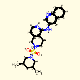 CC1CC(C)CN(S(=O)(=O)N2CCc3c(ccnc3Nc3cnc4ccccc4c3)C2)C1